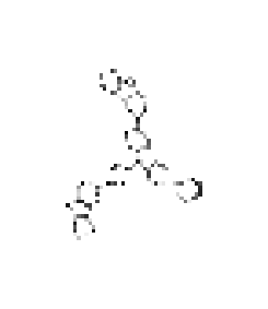 C1=CCC(C2C=CC(N(C3=CC=C(C4C=c5c6c(oc5=CC4)CCC=C6)CC3)C3C=CC(C4=Cc5c(sc6ccccc56)CC4)=CC3)=CC2)C=C1